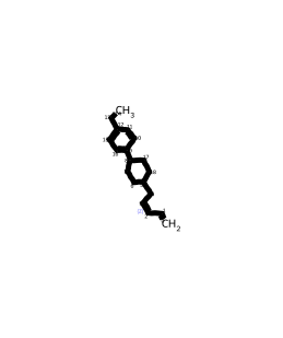 C=C/C=C\CC1CCC(c2ccc(CC)cc2)CC1